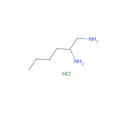 CCCCC(N)CN.Cl